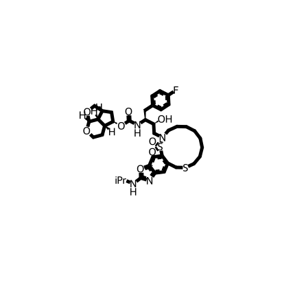 CC(C)Nc1nc2cc3c(cc2o1)S(=O)(=O)N(C[C@@H](O)[C@H](Cc1ccc(F)cc1)NC(=O)O[C@H]1C[C@H]2CO[C@H]4OCC[C@@H]1[C@@H]24)CCCCCCCCSC3